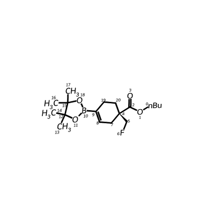 CCCCOC(=O)[C@]1(CF)CC=C(B2OC(C)(C)C(C)(C)O2)CC1